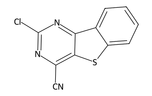 N#Cc1nc(Cl)nc2c1sc1ccccc12